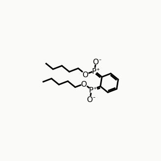 CCCCCO/[P+]([O-])=C1/C=CC=C/C1=[P+](\[O-])OCCCCC